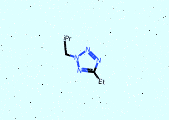 CCc1nnn(CC(C)C)n1